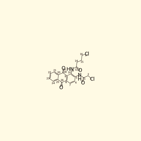 O=C(CCl)Nc1ccc2c(c1NC(=O)CCCCl)C(=O)c1ccccc1C2=O